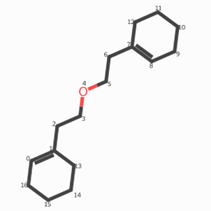 C1=C(CCOCCC2=CCCCC2)CCCC1